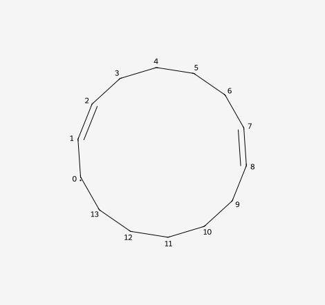 [CH]1C=CCCCCC=CCCCCC1